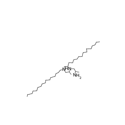 CCCCCCCCCCCCCCCCN(CCCCCCCCCCCCCCCC)CC(C)NCC(C)N